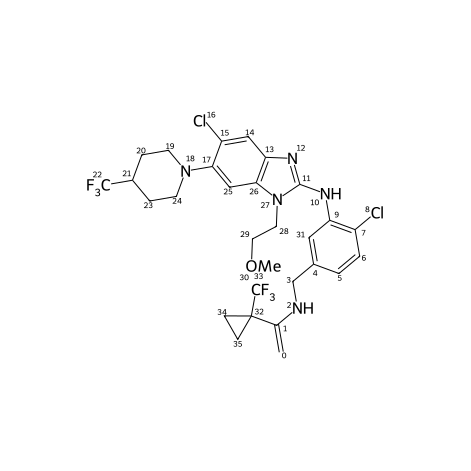 C=C(NCc1ccc(Cl)c(Nc2nc3cc(Cl)c(N4CCC(C(F)(F)F)CC4)cc3n2CCOC)c1)C1(C(F)(F)F)CC1